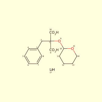 O=C(O)C(Cc1ccccc1)(OC1CCCCO1)C(=O)O.[LiH]